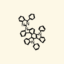 c1ccc(-c2nc(-n3c4ccccc4c4c5c(ccc43)c3c(c4ccccc4n3-c3ccccc3)c3c5c4ccccc4n3-c3ccccc3)nc3ccccc23)cc1